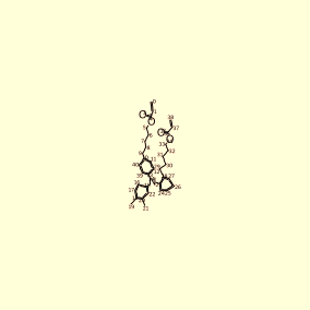 C=CC(=O)OCCCCCc1ccc(N(c2ccc(C)c(C)c2)c2ccccc2CCCCCOC(=O)C=C)cc1